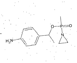 CC(OP(C)(=O)N1CC1)c1ccc(N)cc1